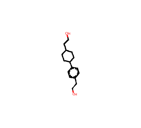 OCCc1ccc(C2CCC(CCO)CC2)cc1